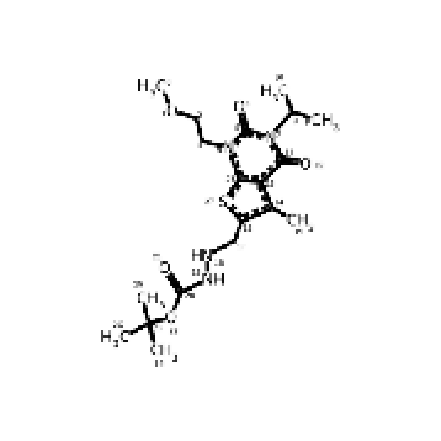 COCCn1c(=O)n(C(C)C)c(=O)c2c(C)c(CNNC(=O)OC(C)(C)C)sc21